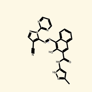 Cc1cc(NC(=O)c2cc3ccccc3c(/N=N/c3c(C#N)cnn3-c3ncccn3)c2O)[nH]n1